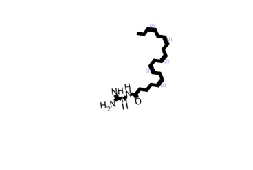 CC/C=C\C/C=C\C/C=C\C/C=C\C/C=C\CCCC(=O)NNC(=N)N